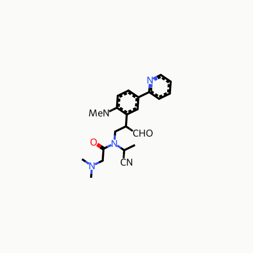 CNc1ccc(-c2ccccn2)cc1C(C=O)CN(C(=O)CN(C)C)C(C)C#N